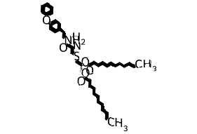 CCCCCCCCCCCC(=O)OC[C@H](CSC[C@H](N)C(=O)NCCc1ccc(Oc2ccccc2)cc1)OC(=O)CCCCCCCCCCC